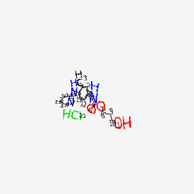 Cc1cc(NC(=O)OCCCO)ccc1NC1=NCCC1.Cl